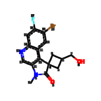 CN1C(=O)C2(CC(CO)C2)c2c1cnc1cc(F)c(Br)cc21